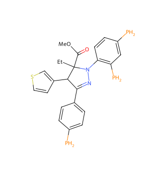 CCC1(C(=O)OC)C(c2ccsc2)C(c2ccc(P)cc2)=NN1c1ccc(P)cc1P